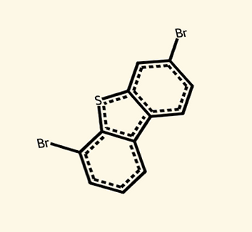 Brc1ccc2c(c1)sc1c(Br)cccc12